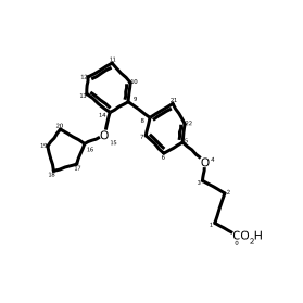 O=C(O)CCCOc1ccc(-c2ccccc2OC2CCCC2)cc1